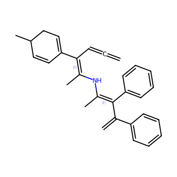 C=C=C/C(C1=CCC(C)C=C1)=C(/C)N/C(C)=C(/C(=C)c1ccccc1)c1ccccc1